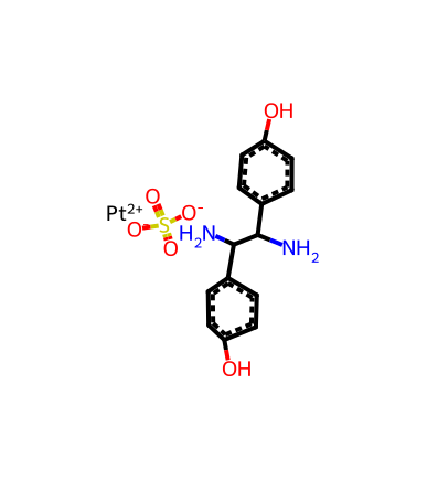 NC(c1ccc(O)cc1)C(N)c1ccc(O)cc1.O=S(=O)([O-])[O-].[Pt+2]